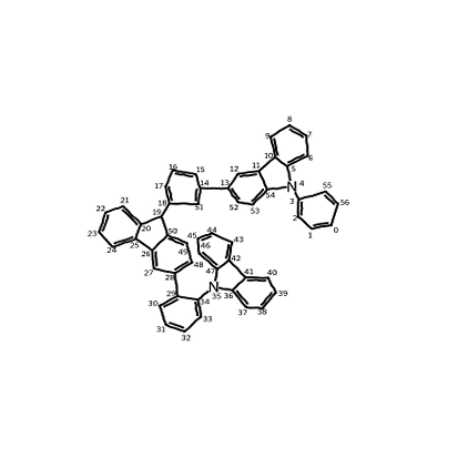 c1ccc(-n2c3ccccc3c3cc(-c4cccc(C5c6ccccc6-c6cc(-c7ccccc7-n7c8ccccc8c8ccccc87)ccc65)c4)ccc32)cc1